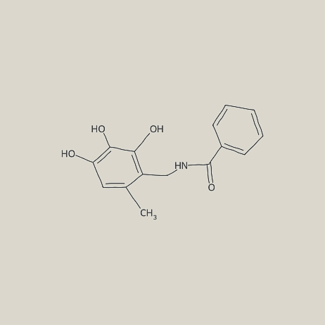 Cc1cc(O)c(O)c(O)c1CNC(=O)c1ccccc1